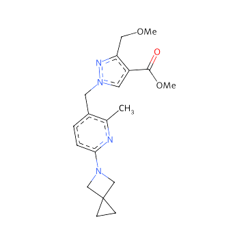 COCc1nn(Cc2ccc(N3CC4(CC4)C3)nc2C)cc1C(=O)OC